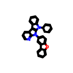 C1=CCC(n2c3ccccc3c3c4cccnc4n(-c4ccc5oc6ccccc6c5c4)c32)C=C1